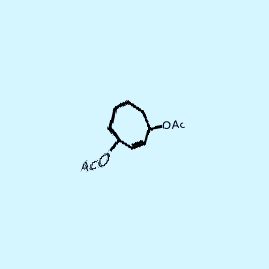 CC(=O)OC1/C=C\C(OC(C)=O)CCCC1